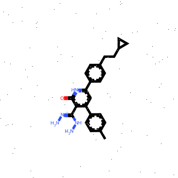 Cc1ccc(-c2cc(-c3ccc(CCC4CC4)cc3)[nH]c(=O)c2/C(=N/N)NN)cc1